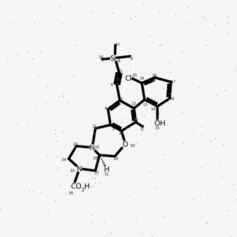 Cc1c2c(cc(C#C[Si](C)(C)C)c1-c1c(O)cccc1Cl)CN1CCN(C(=O)O)C[C@@H]1CO2